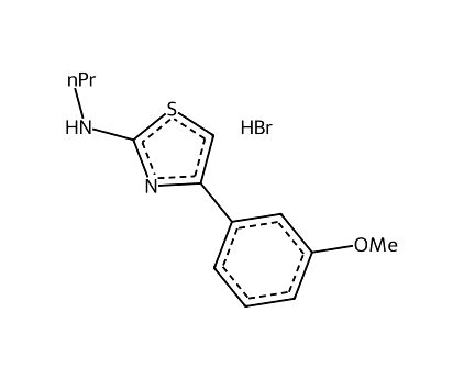 Br.CCCNc1nc(-c2cccc(OC)c2)cs1